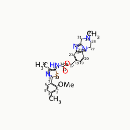 COc1cc(C)ccc1-c1nc(C)c(NC(=O)OCc2ccc3c(c2)nc2n3CCN(C)C2)s1